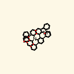 c1ccc(-c2ccccc2N(c2c(-c3ccccc3)ccc(-c3ccccc3)c2-c2cccc3c2[nH]c2ccccc23)c2cccc3sc4ccccc4c23)cc1